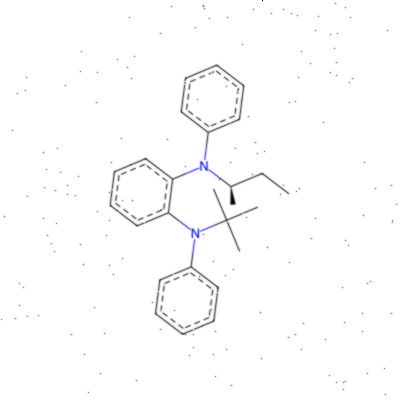 CC[C@@H](C)N(c1ccccc1)c1ccccc1N(c1ccccc1)C(C)(C)C